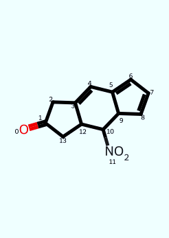 O=C1CC2=CC3=CC=CC3C([N+](=O)[O-])C2C1